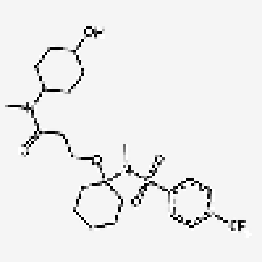 CN(C(=O)CCOC1(N(C)S(=O)(=O)c2ccc(C(F)(F)F)cc2)CCCCC1)C1CCC(O)CC1